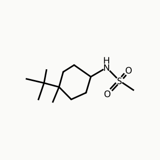 CC(C)(C)C1(C)CCC(NS(C)(=O)=O)CC1